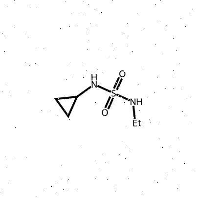 CCNS(=O)(=O)NC1CC1